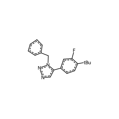 CC(C)(C)c1ccc(-c2cnnn2Cc2ccccc2)cc1F